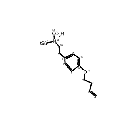 C=CCCOc1ccc(CCN(C(=O)O)C(C)(C)C)cc1